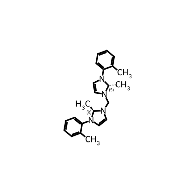 Cc1ccccc1N1C=CN(CN2C=CN(c3ccccc3C)[C@H]2C)[C@H]1C